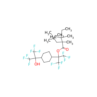 CCC(C)(C)C(C)(CC(C)(C)C)C(=O)OC(C1CCC(C(O)(C(F)(F)F)C(F)(F)F)CC1)(C(F)(F)F)C(F)(F)F